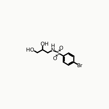 O=S(=O)(NCC(O)CO)c1ccc(Br)cc1